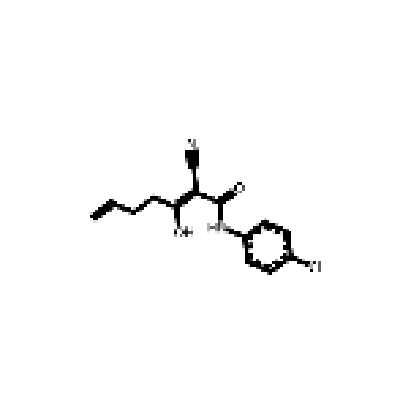 C=CCCC(O)=C(C#N)C(=O)Nc1ccc(Cl)cc1